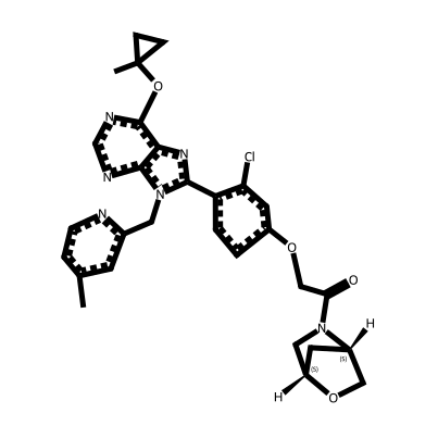 Cc1ccnc(Cn2c(-c3ccc(OCC(=O)N4C[C@@H]5C[C@H]4CO5)cc3Cl)nc3c(OC4(C)CC4)ncnc32)c1